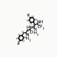 N=C(/C(=C(\N)NC(=O)CC(N)Cc1ccc(F)cc1)c1ccc(F)cc1)C(F)(F)F